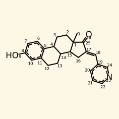 CC12CCC3c4ccc(O)cc4CCC3C1CC(=Cc1cccnc1)C2=O